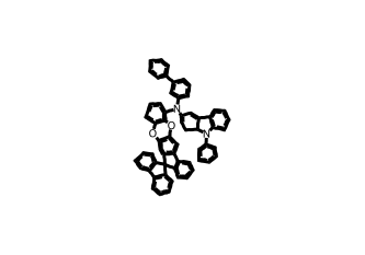 C1=C2c3ccccc3N(c3ccccc3)C2CC=C1N(c1cccc(-c2ccccc2)c1)c1cccc2c1Oc1cc3c(cc1O2)C1(c2ccccc2-c2ccccc21)c1ccccc1-3